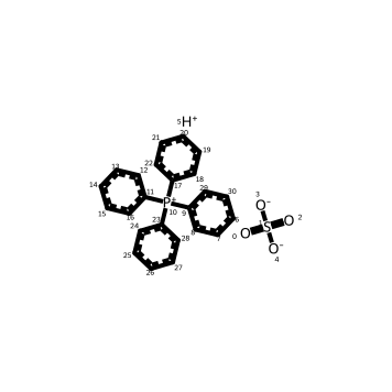 O=S(=O)([O-])[O-].[H+].c1ccc([P+](c2ccccc2)(c2ccccc2)c2ccccc2)cc1